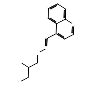 NCC(F)CON=Cc1ccnc2ccccc12